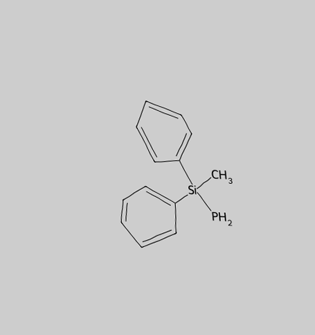 C[Si](P)(c1ccccc1)c1ccccc1